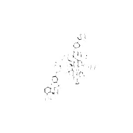 Cc1ncsc1-c1ccc([C@H](CCCCCN2CCC(c3ccc4c(c3)C(C)(C)c3nc(=O)c5c(Br)cccc5n3-4)CC2)NC(=O)C2C[C@@H](O)CN2C(=O)[C@@H](NC(=O)C2(C#N)CC2)C(C)(C)C)cc1